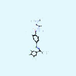 CCN(CC(F)(F)F)C(=O)C(C)NC(=O)c1ccc(/C(F)=C/C(c2cc(Cl)c(Cl)c(Cl)c2)C(F)(F)F)cc1C(F)(F)F